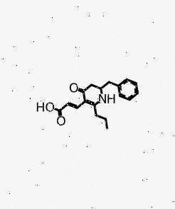 CCCC1=C(/C=C/C(=O)O)C(=O)CC(Cc2ccccc2)N1